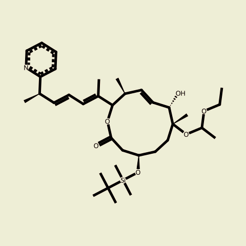 CCOC(C)O[C@]1(C)CC[C@@H](O[Si](C)(C)C(C)(C)C)CC(=O)OC(/C(C)=C/C=C/[C@@H](C)c2ccccn2)[C@@H](C)/C=C/[C@@H]1O